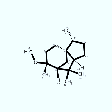 CO[C@]1(C)CC[C@@]23C[C@@H]1C(C)(C)[C@@H]2CC[C@H]3C